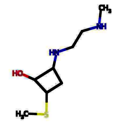 CNCCNC1CC(SC)C1O